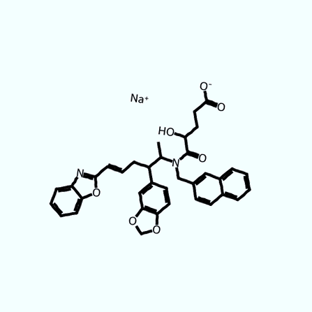 CC(C(C/C=C/c1nc2ccccc2o1)c1ccc2c(c1)OCO2)N(Cc1ccc2ccccc2c1)C(=O)C(O)CCC(=O)[O-].[Na+]